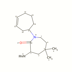 CNC1CC(C)(C)CCN(C2CC=CCCC2)C1=O